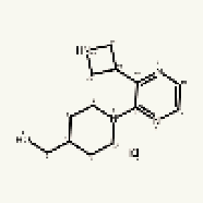 Cl.OCC1CCN(c2nccnc2C2CNC2)CC1